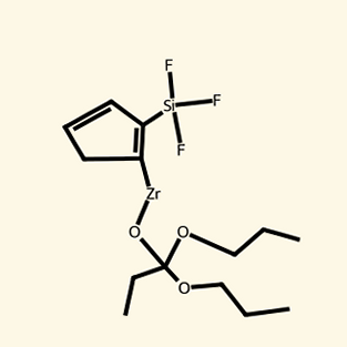 CCCOC(CC)(OCCC)[O][Zr][C]1=C([Si](F)(F)F)C=CC1